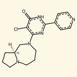 O=c1[nH]c(-c2ccncc2)nc(N2CCCN3CCC[C@H]3C2)c1Cl